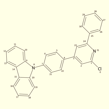 Clc1cc(-c2ccc(-n3c4ccccc4c4ccccc43)cc2)cc(-c2ccccc2)n1